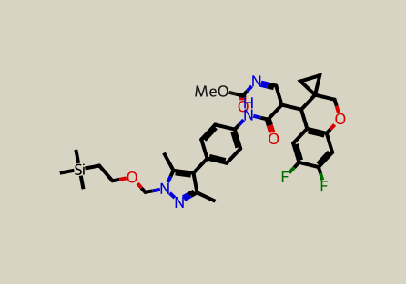 COC(=O)/N=C\C(C(=O)Nc1ccc(-c2c(C)nn(COCC[Si](C)(C)C)c2C)cc1)C1c2cc(F)c(F)cc2OCC12CC2